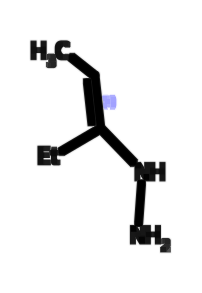 C/C=C(\CC)NN